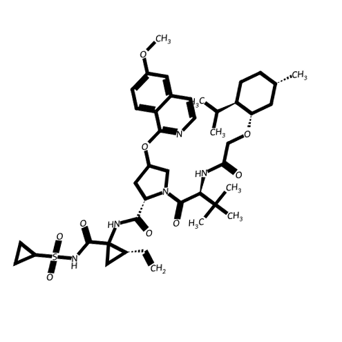 C=C[C@@H]1CC1(NC(=O)[C@@H]1CC(Oc2nccc3cc(OC)ccc23)CN1C(=O)[C@@H](NC(=O)CO[C@H]1C[C@@H](C)CC[C@@H]1C(C)C)C(C)(C)C)C(=O)NS(=O)(=O)C1CC1